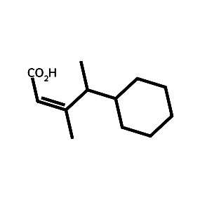 C/C(=C/C(=O)O)C(C)C1CCCCC1